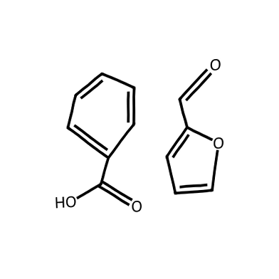 O=C(O)c1ccccc1.O=Cc1ccco1